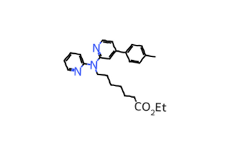 CCOC(=O)CCCCCCN(c1ccccn1)c1cc(-c2ccc(C)cc2)ccn1